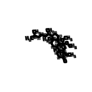 COC1(OC)CC2N(C)C(=O)CC[C@]2(C)[C@H]2CC[C@]3(C)[C@@H]([C@H](C)CCCC(C)C)CC[C@H]3[C@@H]21